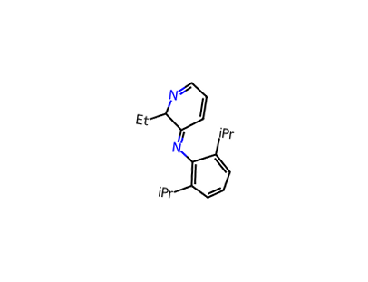 CCC1N=CC=CC1=Nc1c(C(C)C)cccc1C(C)C